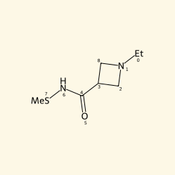 CCN1CC(C(=O)NSC)C1